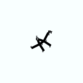 CC(C)C1(C)OC1(C)C